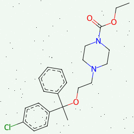 CCOC(=O)N1CCN(CCOC(C)(c2ccccc2)c2ccc(Cl)cc2)CC1